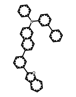 c1ccc(-c2cccc(N(c3ccccc3)c3ccc4cc(-c5cccc(-c6cc7ccccc7o6)c5)ccc4c3)c2)cc1